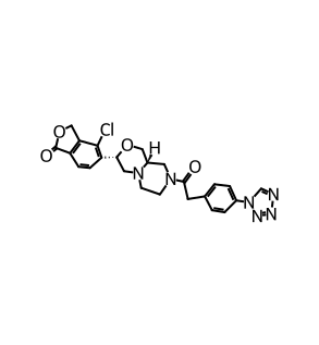 O=C1OCc2c1ccc([C@H]1CN3CCN(C(=O)Cc4ccc(-n5cnnn5)cc4)C[C@H]3CO1)c2Cl